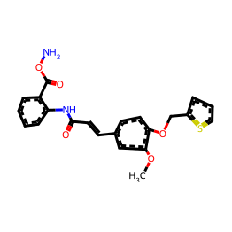 COc1cc(/C=C/C(=O)Nc2ccccc2C(=O)ON)ccc1OCc1cccs1